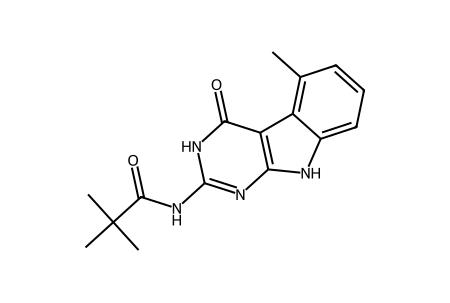 Cc1cccc2[nH]c3nc(NC(=O)C(C)(C)C)[nH]c(=O)c3c12